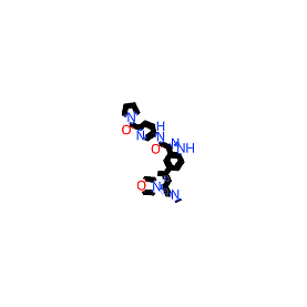 C=N/C=C(\C=C(/C)c1ccc2[nH]nc(C(=O)Nc3ccc(C(=O)N4CCCC4)nc3)c2c1)N1CCOCC1